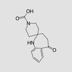 O=C1CCC2(CCN(C(=O)O)CC2)Nc2ccccc21